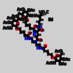 CC(=O)NC1C(OCCCCC(=O)NCCN(CCNC(=O)CCCCOC2OC(COC(C)=O)C(OC(C)=O)C(OC(C)=O)C2NC(C)=O)C(=O)CC[C@H](NC(=O)CCCCOC2OC(COC(C)=O)C(OC(C)=O)C(OC(C)=O)C2NC(C)=O)C(=O)NCCCCCC(=O)O)OC(COC(C)=O)C(OC(C)=O)C1OC(C)=O.[Pd]